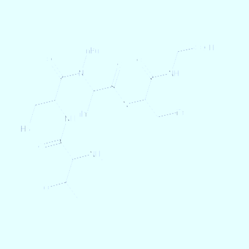 CCCCN(C(=O)C(CS)NC(=O)C(N)C(C)O)C(C(=O)NC(CC(C)C)C(=O)NCC(=O)O)C(C)C